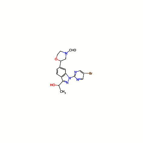 CC(O)c1nn(-c2ncc(Br)cn2)c2cc(C3CN(C=O)CCO3)ccc12